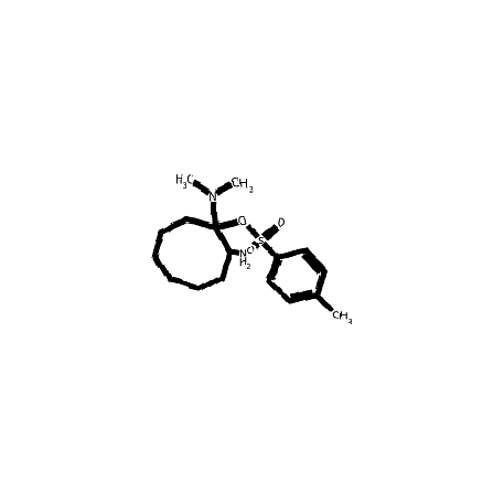 Cc1ccc(S(=O)(=O)OC2(N(C)C)CCCCCCC2N)cc1